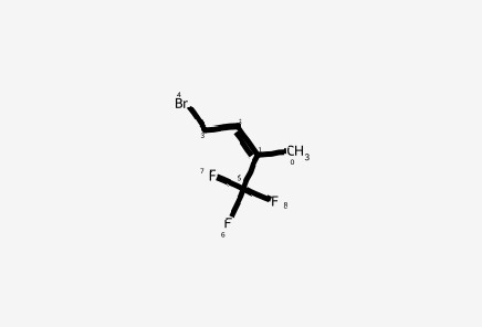 CC(=CCBr)C(F)(F)F